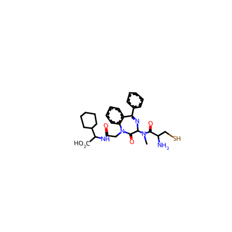 CN(C(=O)C(N)CS)C1N=C(c2ccccc2)c2ccccc2N(CC(=O)NC(C(=O)O)C2CCCCC2)C1=O